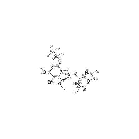 COC(=O)c1c(Br)c(OC)cc(O[Si](C)(C)C(C)(C)C)c1CSC[C@H](NC(C)=O)c1nc(C)no1